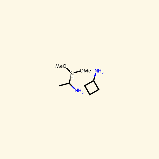 CO[SiH](OC)C(C)N.NC1CCC1